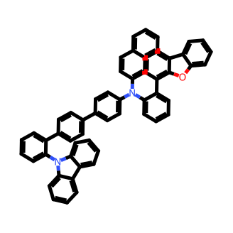 c1ccc(N(c2ccc(-c3ccc(-c4ccccc4-n4c5ccccc5c5ccccc54)cc3)cc2)c2ccc3ccccc3c2)c(-c2cccc3c2oc2ccccc23)c1